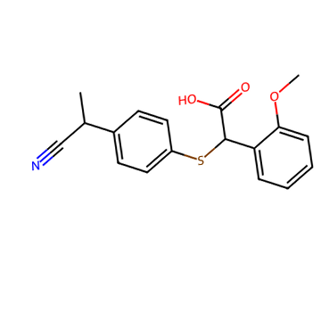 COc1ccccc1C(Sc1ccc(C(C)C#N)cc1)C(=O)O